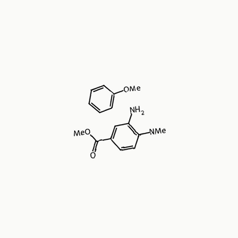 CNc1ccc(C(=O)OC)cc1N.COc1ccccc1